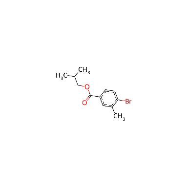 Cc1cc(C(=O)OCC(C)C)ccc1Br